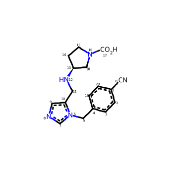 N#Cc1ccc(Cn2cncc2CN[C@H]2CCN(C(=O)O)C2)cc1